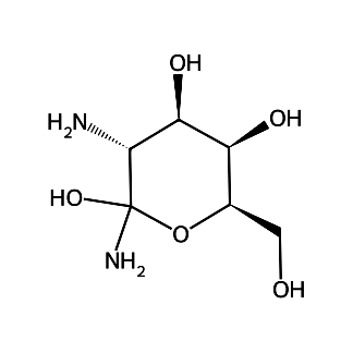 N[C@@H]1[C@@H](O)[C@@H](O)[C@@H](CO)OC1(N)O